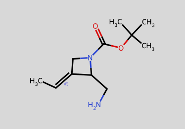 C/C=C1\CN(C(=O)OC(C)(C)C)C1CN